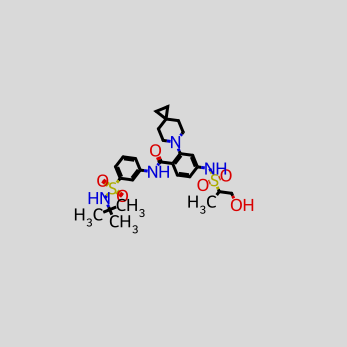 CC(CO)S(=O)(=O)Nc1ccc(C(=O)Nc2cccc(S(=O)(=O)NC(C)(C)C)c2)c(N2CCC3(CC2)CC3)c1